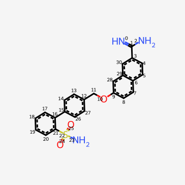 N=C(N)c1ccc2ccc(OCc3ccc(-c4ccccc4S(N)(=O)=O)cc3)cc2c1